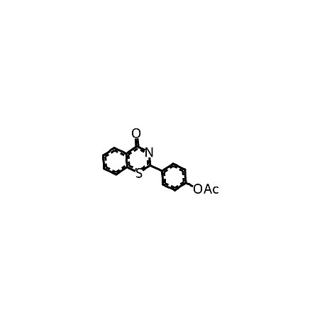 CC(=O)Oc1ccc(-c2nc(=O)c3ccccc3s2)cc1